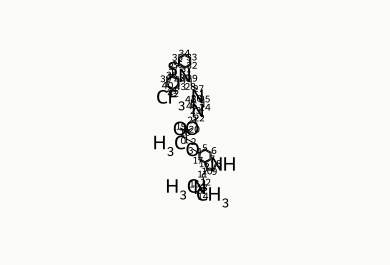 CC(COc1ccc2[nH]cc(CCN(C)C)c2c1)C(=O)OCCN1CCN(CCCN2c3ccccc3Sc3ccc(C(F)(F)F)cc32)CC1